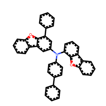 c1ccc(-c2ccc(N(c3cc(-c4ccccc4)c4oc5ccccc5c4c3)c3cccc4c3oc3ccccc34)cc2)cc1